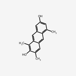 Cc1cc2cc3c(C)cc(O)cc3cc2c(C)c1O